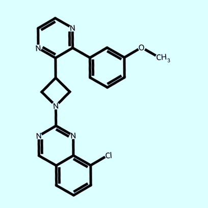 COc1cccc(-c2nccnc2C2CN(c3ncc4cccc(Cl)c4n3)C2)c1